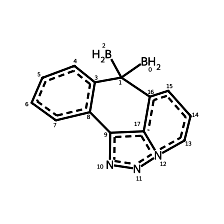 BC1(B)c2ccccc2-c2nnn3cccc1c23